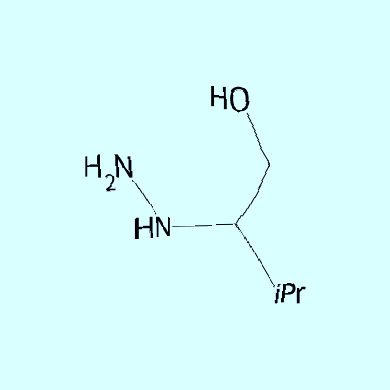 CC(C)C(CO)NN